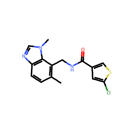 Cc1ccc2ncn(C)c2c1CNC(=O)c1csc(Cl)c1